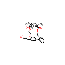 C=C(C)C(=O)OCCOc1cc(-c2ccccc2CCOC(=O)C(=C)C)ccc1CCCO